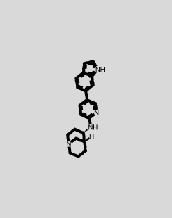 c1cc2ccc(-c3ccc(N[C@H]4CCN5CCC[C@@H]4C5)nc3)cc2[nH]1